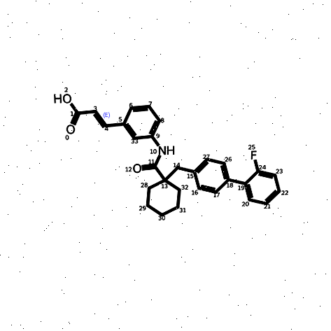 O=C(O)/C=C/c1cccc(NC(=O)C2(Cc3ccc(-c4ccccc4F)cc3)CCCCC2)c1